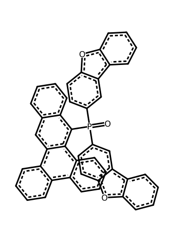 O=P(c1ccc2oc3ccccc3c2c1)(c1ccc2oc3ccccc3c2c1)c1c2ccccc2cc2c3ccccc3c3ccccc3c12